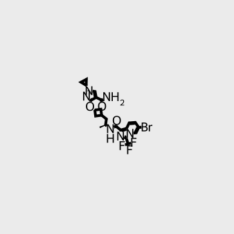 C[C@@H](CC1CC(Oc2nn(C3CC3)cc2C(N)=O)C1)NC(=O)c1nc(C(F)(F)F)n2cc(Br)ccc12